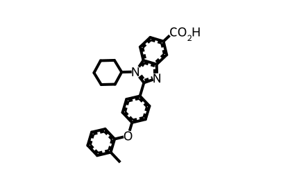 Cc1ccccc1Oc1ccc(-c2nc3cc(C(=O)O)ccc3n2C2CCCCC2)cc1